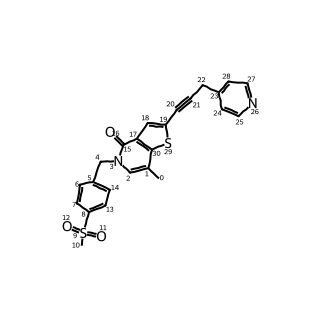 Cc1cn(Cc2ccc(S(C)(=O)=O)cc2)c(=O)c2cc(C#CCc3ccncc3)sc12